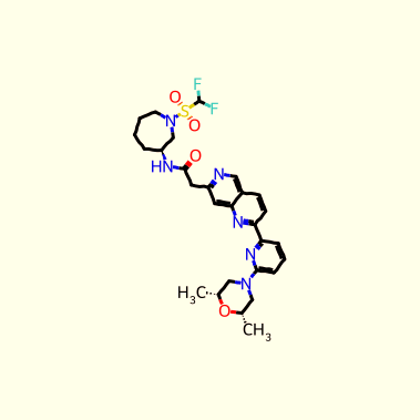 C[C@@H]1CN(c2cccc(-c3ccc4cnc(CC(=O)N[C@H]5CCCCN(S(=O)(=O)C(F)F)C5)cc4n3)n2)C[C@H](C)O1